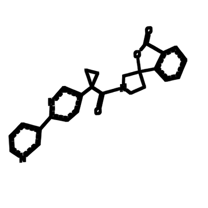 O=C1OC2(CCN(C(=O)C3(c4ccc(-c5cccnc5)nc4)CC3)C2)c2ccccc21